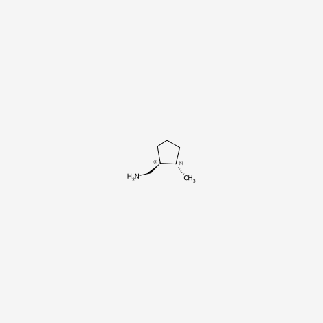 C[C@H]1CCC[C@@H]1CN